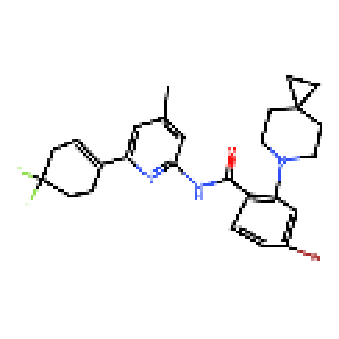 Cc1cc(NC(=O)c2ccc(Br)cc2N2CCC3(CC2)CC3)nc(C2=CCC(F)(F)CC2)c1